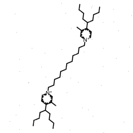 CCCCC(CCCC)c1cc[n+](CCCCCCCCCCCC[n+]2ccc(C(CCCC)CCCC)c(C)c2)cc1C